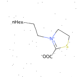 CCCCCCCC[N+]1=C(C(=O)[O-])SCC1